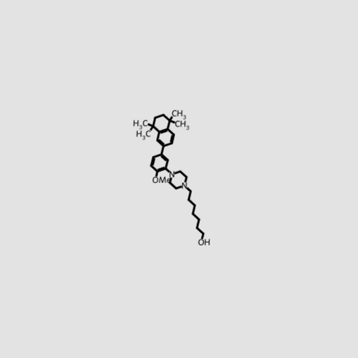 COc1ccc(-c2ccc3c(c2)C(C)(C)CCC3(C)C)cc1N1CCN(CCCCCCCO)CC1